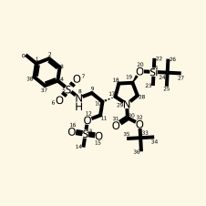 Cc1ccc(S(=O)(=O)NCC(COS(C)(=O)=O)[C@@H]2C[C@@H](O[Si](C)(C)C(C)(C)C)CN2C(=O)OC(C)(C)C)cc1